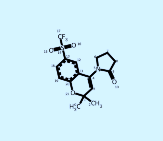 CC1(C)C=C(N2CCCC2=O)c2cc(S(=O)(=O)C(F)(F)F)ccc2O1